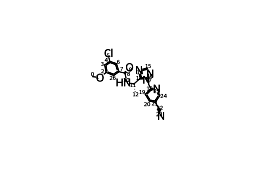 COc1cc(Cl)cc(C(=O)N[C@@H](C)c2ncnn2-c2ccc(C#N)cn2)c1